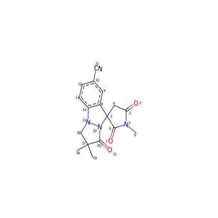 CN1C(=O)CC2(C1=O)c1cc(C#N)ccc1N1CC(C)(C)C(=O)N12